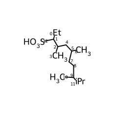 CCC(C(C)CC(C)CCC(C)C(C)C)S(=O)(=O)O